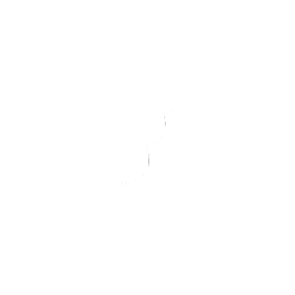 OO[B]OO